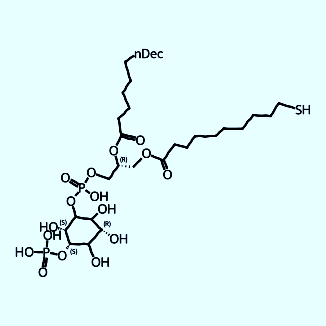 CCCCCCCCCCCCCCCC(=O)O[C@H](COC(=O)CCCCCCCCCS)COP(=O)(O)OC1C(O)[C@H](O)C(O)[C@H](OP(=O)(O)O)[C@@H]1O